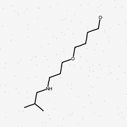 CC(C)CNCCCOCCCC[O]